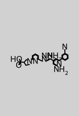 N#Cc1cccc(-c2cc(/C(N)=C/N(N)Cc3cccc(N4CCC(C(=O)O)C4)n3)cc(N)n2)c1